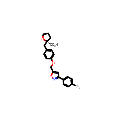 O=C(O)[C@@]1(Cc2ccc(OCc3cc(-c4ccc(C(F)(F)F)cc4)no3)cc2)CCCO1